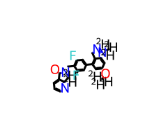 [2H]C([2H])([2H])Oc1cc(-c2cc(F)c(CN3C(=O)c4cccnc4C3([2H])[2H])c(F)c2)c2cnn(C([2H])([2H])[2H])c2c1